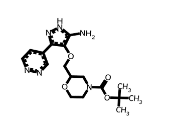 CC(C)(C)OC(=O)N1CCOC(COc2c(-c3ccnnc3)n[nH]c2N)C1